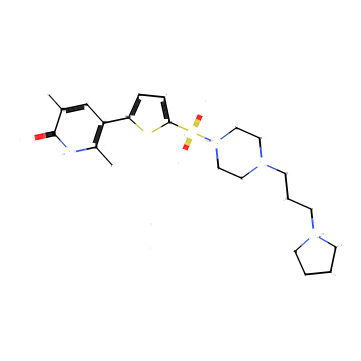 CCc1cc(-c2ccc(S(=O)(=O)N3CCN(CCCN4CCCC4)CC3)s2)c(C)[nH]c1=O.Cl.Cl